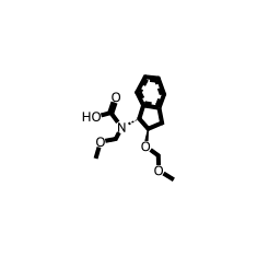 COCO[C@@H]1Cc2ccccc2[C@H]1N(COC)C(=O)O